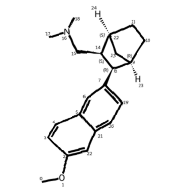 COc1ccc2cc([C@@H]3[C@@H]4CC[C@@H](C4)[C@@H]3CN(C)C)ccc2c1